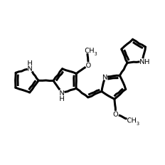 COC1=CC(c2ccc[nH]2)=NC1=Cc1[nH]c(-c2ccc[nH]2)cc1OC